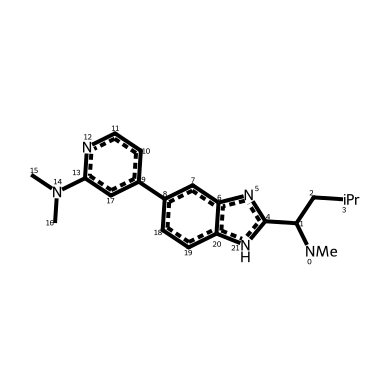 CNC(CC(C)C)c1nc2cc(-c3ccnc(N(C)C)c3)ccc2[nH]1